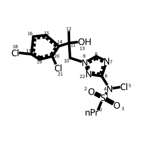 CCCS(=O)(=O)N(Cl)c1ncn(CC(C)(O)c2ccc(Cl)cc2Cl)n1